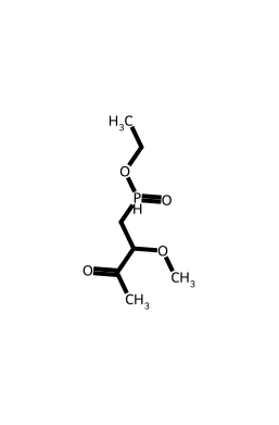 CCO[PH](=O)CC(OC)C(C)=O